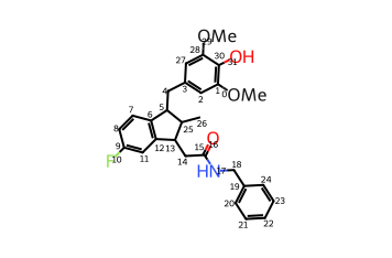 COc1cc(CC2c3ccc(F)cc3C(CC(=O)NCc3ccccc3)C2C)cc(OC)c1O